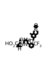 COC[C@H]1N(c2cccc(-c3cccc(C(F)(F)F)c3OCc3cc(C)c4c(c3)CCN(C3COC3)C4)n2)C[C@@H]2C[C@@]21C(=O)O